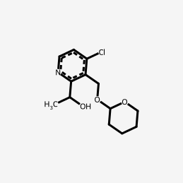 CC(O)c1nccc(Cl)c1COC1CCCCO1